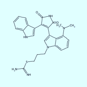 CN(C)c1cccc2c1c(C1=C(c3c[nH]c4ccccc34)C(=O)NC1=O)cn2CCCSC(=N)N